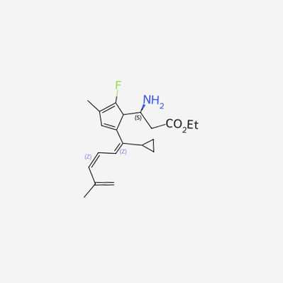 C=C(C)/C=C\C=C(/C1=CC(C)=C(F)C1[C@@H](N)CC(=O)OCC)C1CC1